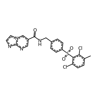 Cc1ccc(Cl)c(S(=O)(=O)c2ccc(CNC(=O)c3cnc4nccn4c3)cc2)c1Cl